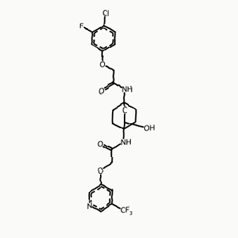 O=C(COc1ccc(Cl)c(F)c1)NC12CCC(NC(=O)COc3cncc(C(F)(F)F)c3)(CC1)C(O)C2